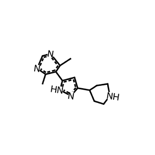 Cc1ncnc(C)c1-c1cc(C2CCNCC2)n[nH]1